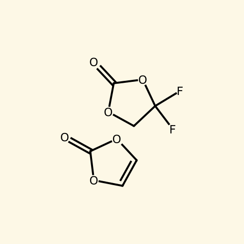 O=C1OCC(F)(F)O1.O=c1occo1